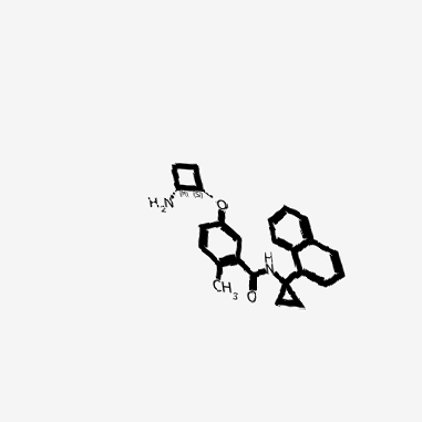 Cc1ccc(O[C@H]2CC[C@H]2N)cc1C(=O)NC1(c2cccc3ccccc23)CC1